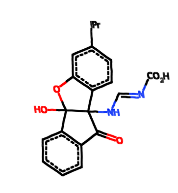 CC(C)c1ccc2c(c1)OC1(O)c3ccccc3C(=O)C21N/C=N/C(=O)O